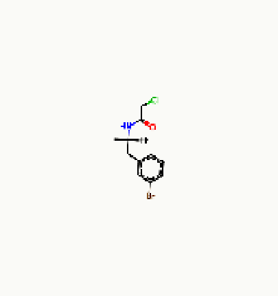 CCC(C)(Cc1cccc(Br)c1)NC(=O)CCl